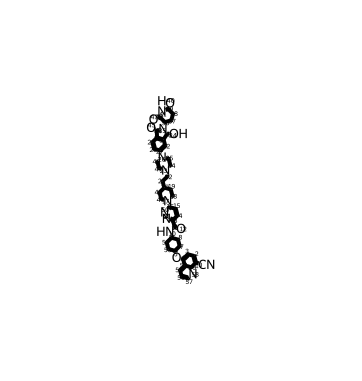 N#Cc1ccc(OC2CCC(NC(=O)c3ccc(N4CCC(CCN5CCN(c6ccc7c(c6)C(O)N(C6CCC(=O)NC6=O)C7=O)CC5)CC4)nn3)CC2)c2cccnc12